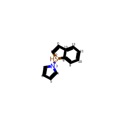 C1=C[SH](n2cccc2)c2ccccc21